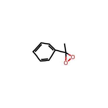 CC1(c2ccccc2)OO1